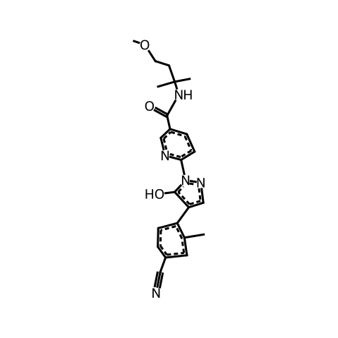 COCCC(C)(C)NC(=O)c1ccc(-n2ncc(-c3ccc(C#N)cc3C)c2O)nc1